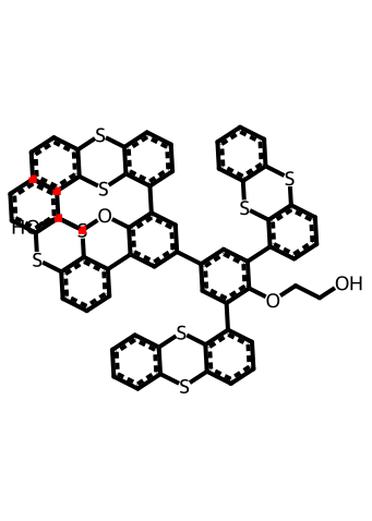 OCCOc1c(-c2cccc3c2Sc2ccccc2S3)cc(-c2cc(-c3cccc4c3Sc3ccccc3S4)c(OCCO)c(-c3cccc4c3Sc3ccccc3S4)c2)cc1-c1cccc2c1Sc1ccccc1S2